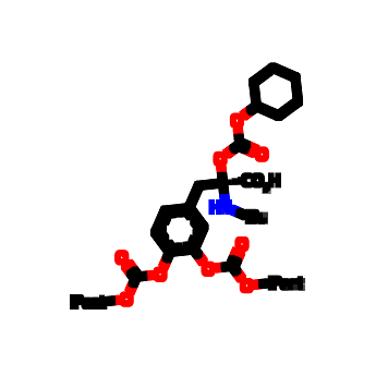 CCCC(C)OC(=O)Oc1ccc(C[C@](NC(C)CC)(OC(=O)OC2CCCCC2)C(=O)O)cc1OC(=O)OC(C)CCC